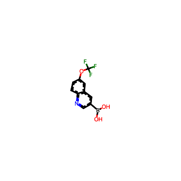 OB(O)c1cnc2ccc(OC(F)(F)F)cc2c1